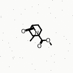 COC(=O)C12CCC(CC1)C(=O)N2C